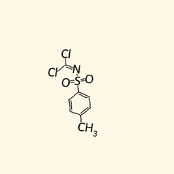 Cc1ccc(S(=O)(=O)N=C(Cl)Cl)cc1